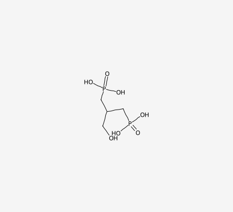 O=P(O)(O)CC(CO)CP(=O)(O)O